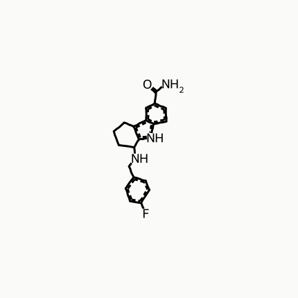 NC(=O)c1ccc2[nH]c3c(c2c1)CCCC3NCc1ccc(F)cc1